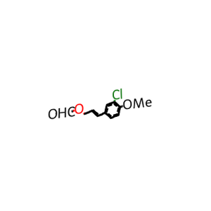 COc1ccc(C=CCO[C]=O)cc1Cl